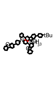 CC(C)(C)c1ccc(-c2ccc3c(c2)C(C)(C)c2ccc(-c4ccccc4N(c4ccc(-c5ccc6c(c5)oc5ccccc56)cc4)c4ccc(-c5cccc6c5oc5ccccc56)cc4)cc2-3)cc1